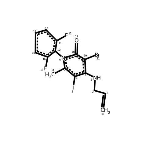 C=CCNc1c(I)c(C)n(-c2c(F)cccc2F)c(=O)c1Br